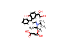 CC(C)N(CC[C@H](c1ccccc1)c1cc([C@H](O)CO)ccc1O)C(C)C.O=C(O)/C=C/C(=O)O